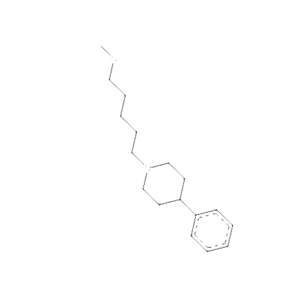 CCNCCCCCN1CCC(c2ccccc2)CC1